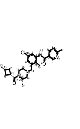 Cc1ncc(C(=O)Nc2cc(Cl)cc(CN3CCN(C(=O)[C@H]4C[C@H](C)C4)[C@@H](C)C3)c2C)cn1